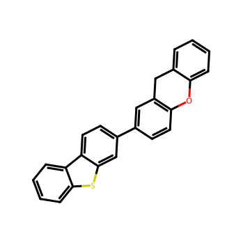 c1ccc2c(c1)Cc1cc(-c3ccc4c(c3)sc3ccccc34)ccc1O2